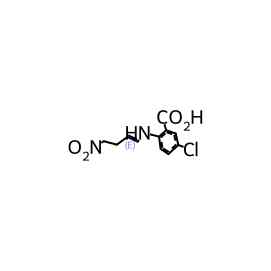 O=C(O)c1cc(Cl)ccc1N/C=C/CC[N+](=O)[O-]